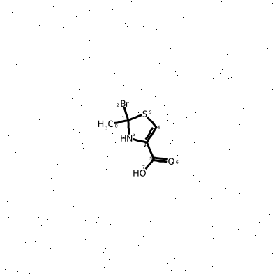 CC1(Br)NC(C(=O)O)=CS1